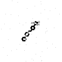 O=C1CNC(c2ccc(CCN3CCN(c4ccccn4)CC3)cc2)N1